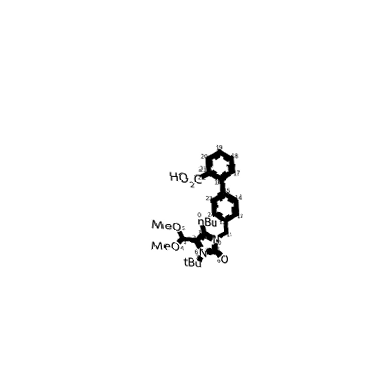 CCCCc1c(C(OC)OC)n(C(C)(C)C)c(=O)n1Cc1ccc(-c2ccccc2C(=O)O)cc1